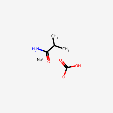 CC(C)C(N)=O.O=C([O-])O.[Na+]